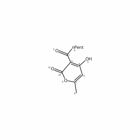 CCCCCC(=O)c1c(O)cc(C)oc1=O